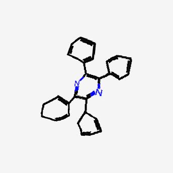 C1=CCC(c2nc(-c3ccccc3)c(-c3ccccc3)nc2C2=CCCC=C2)C=C1